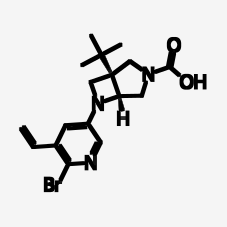 C=Cc1cc(N2C[C@]3(C(C)(C)C)CN(C(=O)O)C[C@H]23)cnc1Br